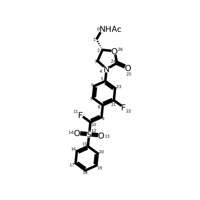 CC(=O)NC[C@H]1CN(c2ccc(/C=C(\F)S(=O)(=O)c3ccccc3)c(F)c2)C(=O)O1